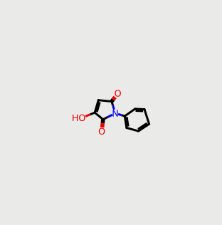 O=C1C=C(O)C(=O)N1c1ccccc1